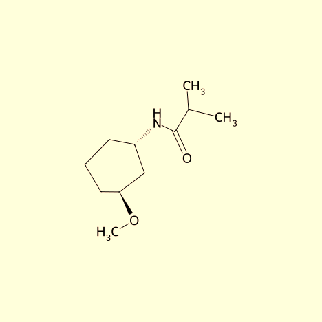 CO[C@H]1CCC[C@H](NC(=O)C(C)C)C1